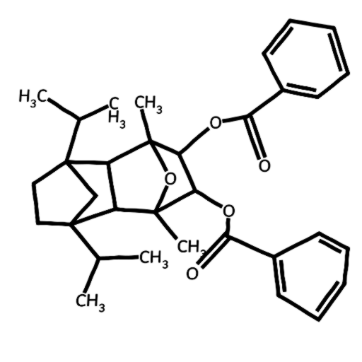 CC(C)C12CCC(C(C)C)(C1)C1C2C2(C)OC1(C)C(OC(=O)c1ccccc1)C2OC(=O)c1ccccc1